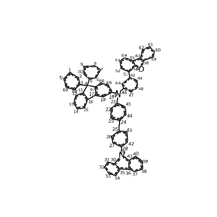 c1ccc(C2(c3ccccc3)c3ccccc3-c3cc(N(c4ccc(-c5ccc(-n6c7ccccc7c7ccccc76)cc5)cc4)c4cccc(-c5cccc6c5oc5ccccc56)c4)ccc32)cc1